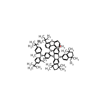 Cc1cc2c3c(c1)N(c1ccc(C(C)(C)C)c4sc5ccccc5c14)c1cc(N(c4ccc(C(C)(C)C)cc4C)c4ccc(C(C)(C)C)cc4C)ccc1B3c1cc3c(cc1N2c1ccc2c(c1)C(C)(C)CCC2(C)C)C(C)(C)CCC3(C)C